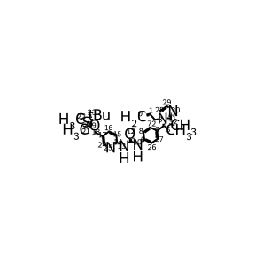 C=CC[N+]1([C@@H](C)c2ccc(NC(=O)Nc3ccc(CO[Si](C)(C)C(C)(C)C)cn3)cc2)C=CN=C1C